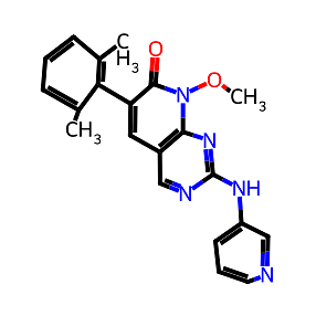 COn1c(=O)c(-c2c(C)cccc2C)cc2cnc(Nc3cccnc3)nc21